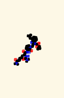 CC(C)Cc1cccc2c1nc(Cn1cccc(NC(=O)[C@H](CC/C=C/C(=O)N(C)C)NC(=O)N(C)C)c1=O)n2C(=O)OC(C)(C)C